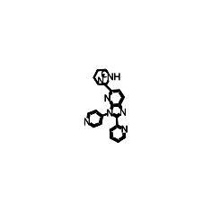 c1ccc(-c2nc3ccc(N4CC5CCC4CN5)nc3n2-c2ccncc2)nc1